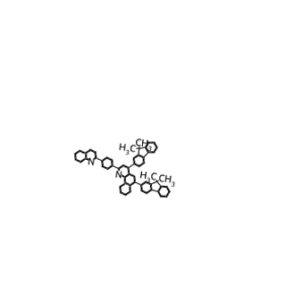 CC1(C)c2ccccc2-c2ccc(-c3cc4c(-c5ccc6c(c5)C(C)(C)c5ccccc5-6)cc(-c5ccc(-c6ccc7ccccc7n6)cc5)nc4c4ccccc34)cc21